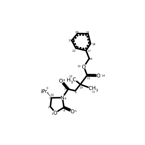 CC(C)[C@H]1COC(=O)N1C(=O)CC(C)(C)C(=O)OCc1ccccc1